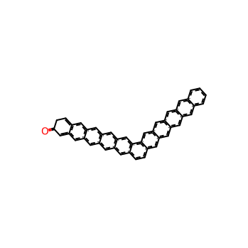 O=C1C=c2cc3cc4cc5cc6ccc7cc8cc9cc%10cc%11ccccc%11cc%10cc9cc8cc7c6cc5cc4cc3cc2=CC1